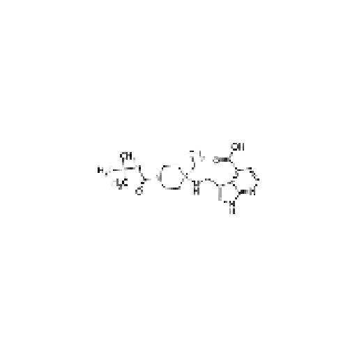 CCC1(NCc2c[nH]c3nccc(C(=O)O)c23)CCN(C(=O)OC(C)(C)C)CC1